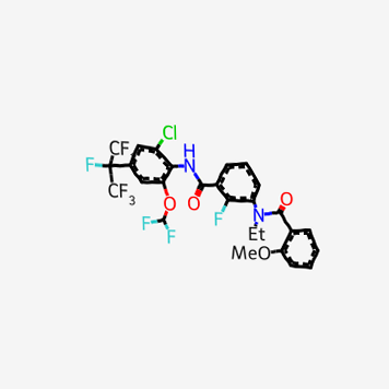 CCN(C(=O)c1ccccc1OC)c1cccc(C(=O)Nc2c(Cl)cc(C(F)(C(F)(F)F)C(F)(F)F)cc2OC(F)F)c1F